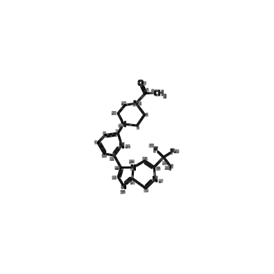 CC(=O)N1CCN(c2cccc(-c3cnc4cnc(C(F)(F)F)cn34)n2)CC1